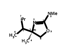 CNC1=N[C@](C)(C(C)C(C)C)CO1